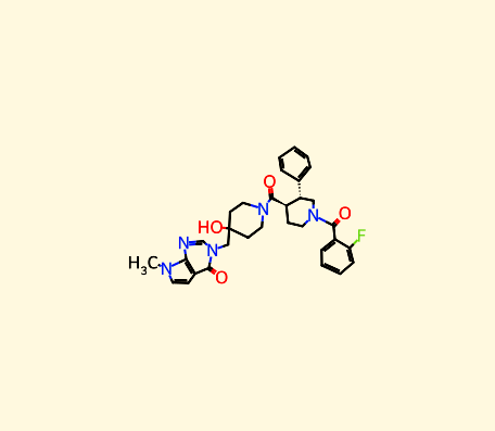 Cn1ccc2c(=O)n(CC3(O)CCN(C(=O)[C@@H]4CCN(C(=O)c5ccccc5F)C[C@H]4c4ccccc4)CC3)cnc21